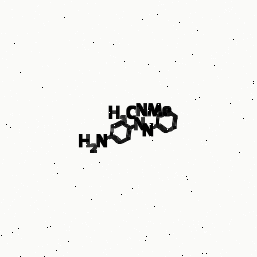 CNC.Nc1ccc(N=Nc2ccccc2)cc1